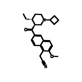 CC[C@@H]1CCN(C2CCC2)C[C@H]1C(=O)c1ccc2c(CC#N)c(OC)ccc2c1